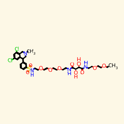 CCOCCOCCNC(=O)[C@H](O)[C@H](O)C(=O)NCCOCCOCCOCCNS(=O)(=O)c1cccc(C2CN(C)Cc3c(Cl)cc(Cl)cc32)c1